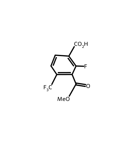 COC(=O)c1c(C(F)(F)F)ccc(C(=O)O)c1F